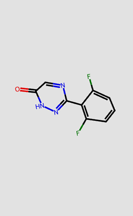 O=c1cnc(-c2c(F)cccc2F)n[nH]1